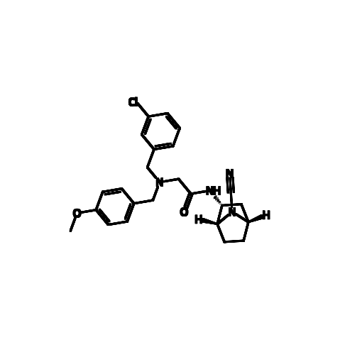 COc1ccc(CN(CC(=O)N[C@@H]2C[C@@H]3CC[C@H]2N3C#N)Cc2cccc(Cl)c2)cc1